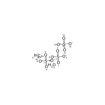 O.O=S(=O)([O-])[O-].O=S(=O)([O-])[O-].O=S(=O)([O-])[O-].[In+3].[In+3]